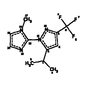 CC(C)c1cc(C(F)(F)F)nn1-c1nccn1C